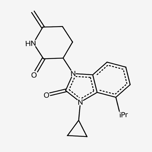 C=C1CCC(n2c(=O)n(C3CC3)c3c(C(C)C)cccc32)C(=O)N1